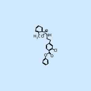 Cc1ccccc1S(=O)(=O)NCCc1ccc(C(=O)Oc2ccccc2)c(Cl)c1